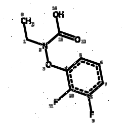 CCN(Oc1cccc(F)c1F)C(=O)O